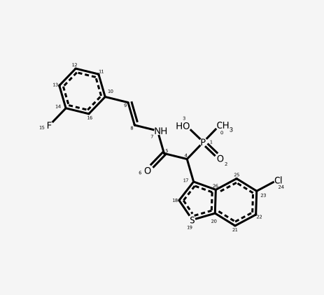 CP(=O)(O)C(C(=O)NC=Cc1cccc(F)c1)c1csc2ccc(Cl)cc12